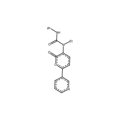 CCN(C(=O)NC(C)C)c1ccc(-c2cccnc2)oc1=O